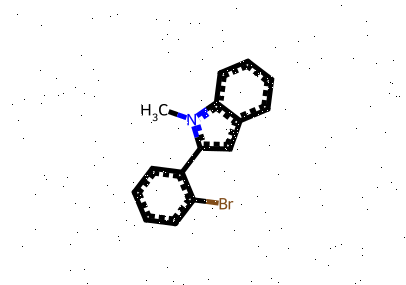 Cn1c(-c2ccccc2Br)cc2ccccc21